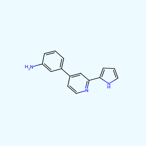 Nc1cccc(-c2ccnc(-c3ccc[nH]3)c2)c1